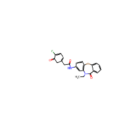 CCN1C(=O)c2ccccc2Sc2ccc(NC(=O)CC3=CC=C(F)C(=O)C3)cc21